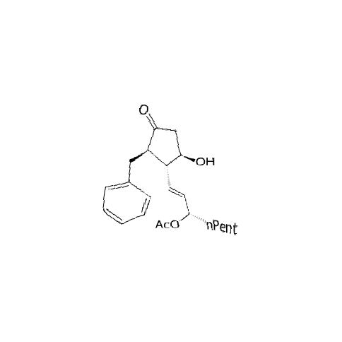 CCCCC[C@@H](C=C[C@H]1[C@H](O)CC(=O)[C@@H]1Cc1ccccc1)OC(C)=O